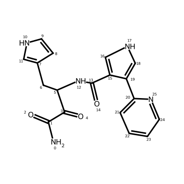 NC(=O)C(=O)C(Cc1cc[nH]c1)NC(=O)c1c[nH]cc1-c1ccccn1